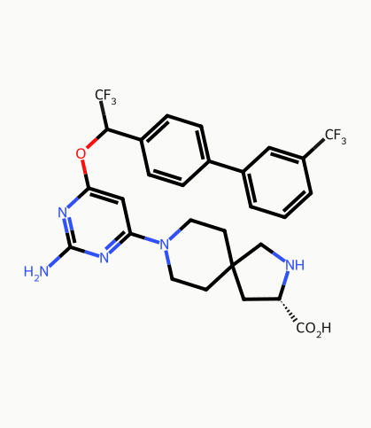 Nc1nc(OC(c2ccc(-c3cccc(C(F)(F)F)c3)cc2)C(F)(F)F)cc(N2CCC3(CC2)CN[C@H](C(=O)O)C3)n1